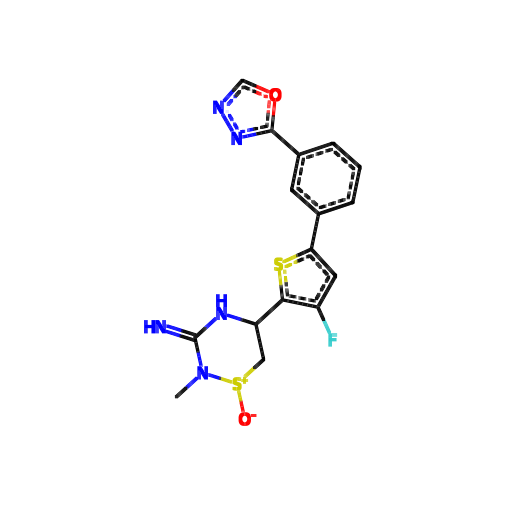 CN1C(=N)NC(c2sc(-c3cccc(-c4nnco4)c3)cc2F)C[S+]1[O-]